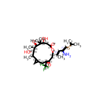 C=C(C)S/C=C(N)/C=C(\C)[C@@H]1CC2OC2(C(F)(F)F)CC2CC2[C@H](C)[C@H](O)[C@@H](C)C(=O)C(C)(C)[C@@H](O)CC(=O)O1